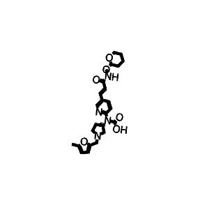 Cc1ccc(CN2CC[C@@H](N(C(=O)O)c3ccc(C=CC(=O)NOC4CCCCO4)cn3)C2)o1